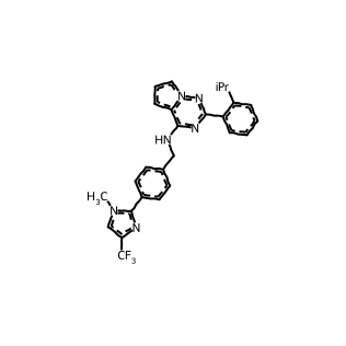 CC(C)c1ccccc1-c1nc(NCc2ccc(-c3nc(C(F)(F)F)cn3C)cc2)c2cccn2n1